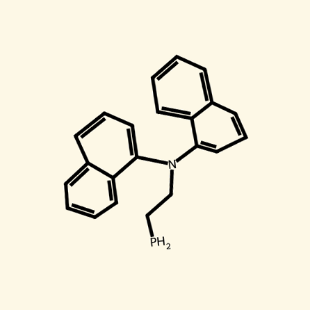 PCCN(c1cccc2ccccc12)c1cccc2ccccc12